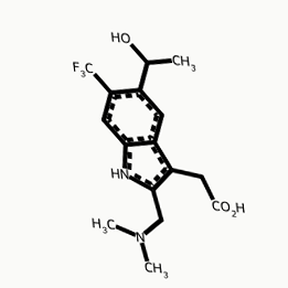 CC(O)c1cc2c(CC(=O)O)c(CN(C)C)[nH]c2cc1C(F)(F)F